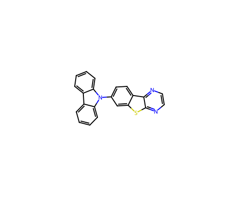 c1ccc2c(c1)c1ccccc1n2-c1ccc2c(c1)sc1nccnc12